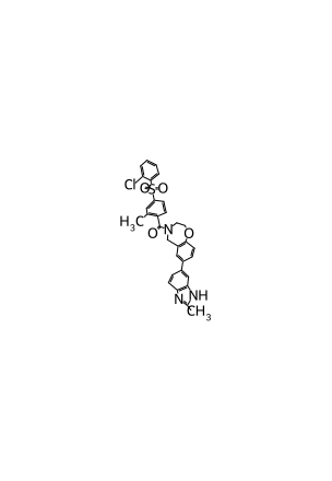 Cc1nc2ccc(-c3ccc4c(c3)CN(C(=O)c3ccc(S(=O)(=O)c5ccccc5Cl)cc3C)CCO4)cc2[nH]1